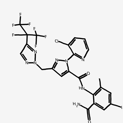 Cc1cc(I)cc(C(N)=O)c1NC(=O)c1cc(Cn2ncc(C(F)(C(F)(F)F)C(F)(F)F)n2)nn1-c1ncccc1Cl